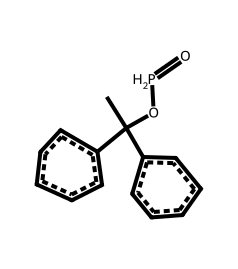 CC(O[PH2]=O)(c1ccccc1)c1ccccc1